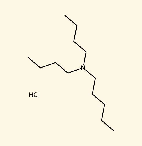 CCCCCN(CCCC)CCCC.Cl